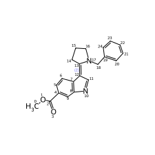 COC(=O)c1ccc2c(c1)N=C/C2=C1/CCCN1Cc1ccccc1